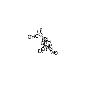 C=Cc1c(F)cc(-c2csc(NC(=O)[C@H](COCC)NC(=O)c3ccn(C4(C)COC4)c3)n2)cc1C=O